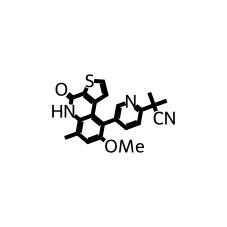 COc1cc(C)c2[nH]c(=O)c3sccc3c2c1-c1ccc(C(C)(C)C#N)nc1